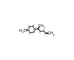 C=CCCC(=C)N1CCN(C)CC1